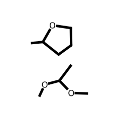 CC1CCCO1.COC(C)OC